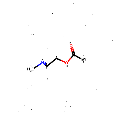 CCCC(=O)OCC=NC